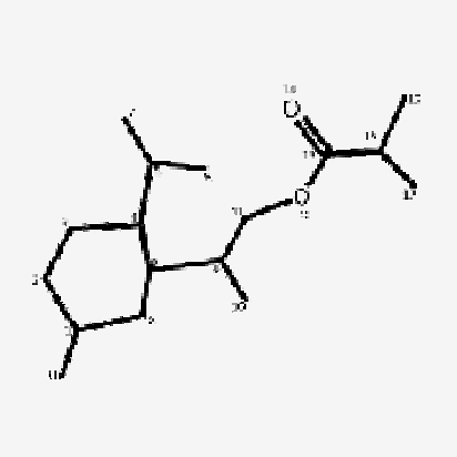 CC1CCC(C(C)C)C(C(C)COC(=O)C(C)C)C1